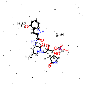 COc1cccc2[nH]c(C(=O)N[C@@H](CC(C)C)C(=O)N[C@@H](C[C@@H]3CCNC3=O)C(=O)COP(=O)(O)O)cc12.[NaH]